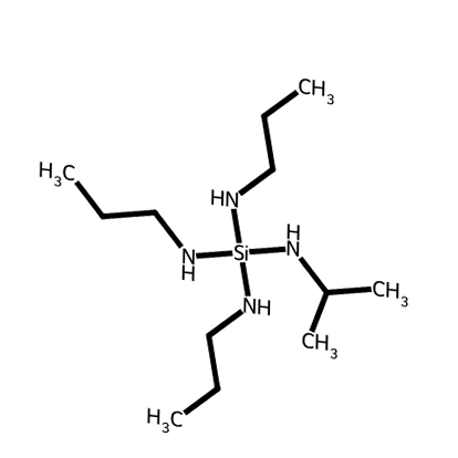 CCCN[Si](NCCC)(NCCC)NC(C)C